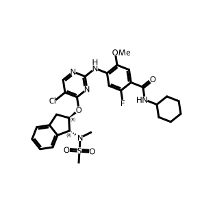 COc1cc(C(=O)NC2CCCCC2)c(F)cc1Nc1ncc(Cl)c(O[C@@H]2Cc3ccccc3[C@H]2N(C)S(C)(=O)=O)n1